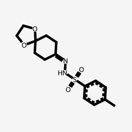 Cc1ccc(S(=O)(=O)NN=C2CCC3(CC2)OCCO3)cc1